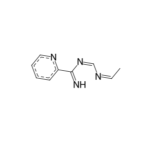 C/C=N\C=N/C(=N)c1ccccn1